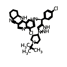 CC(C)(C)N1CCC(N2C=C([C@@H](Nc3cc(Cl)c4ncc(C#N)c(NC5CCCCC5)c4c3)c3ccc(Cl)cc3)NN2)CC1